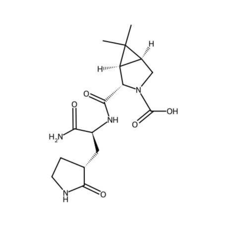 CC1(C)[C@@H]2[C@@H](C(=O)N[C@@H](C[C@H]3CCNC3=O)C(N)=O)N(C(=O)O)C[C@@H]21